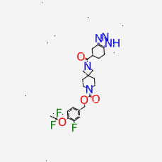 CC(F)(F)Oc1ccc(COC(=O)N2CCC3(CC2)CN(C(=O)C2CCc4[nH]nnc4C2)C3)cc1F